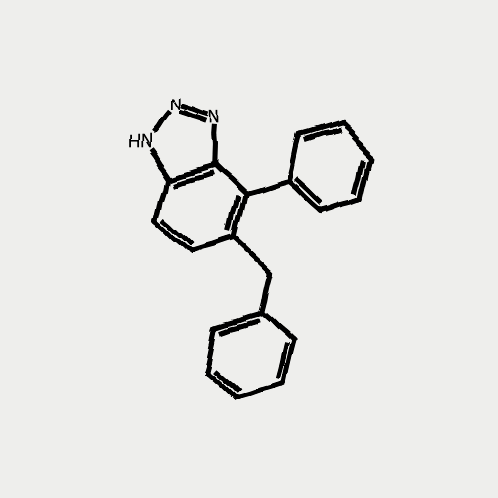 c1ccc(Cc2ccc3[nH]nnc3c2-c2ccccc2)cc1